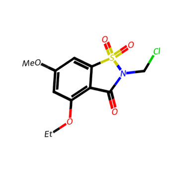 CCOc1cc(OC)cc2c1C(=O)N(CCl)S2(=O)=O